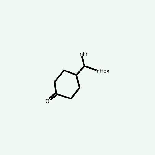 CCCCCCC(CCC)C1CCC(=O)CC1